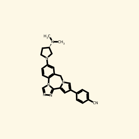 CN(C)[C@H]1CCN(c2ccc3c(c2)Cn2cc(-c4ccc(C#N)cc4)cc2-c2nncn2-3)C1